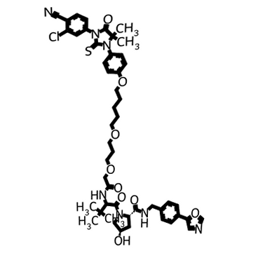 CC(C)(C)C(NC(=O)COCCCOCCCCCOc1ccc(N2C(=S)N(c3ccc(C#N)c(Cl)c3)C(=O)C2(C)C)cc1)C(=O)N1C[C@H](O)C[C@H]1C(=O)NCc1ccc(-c2cnco2)cc1